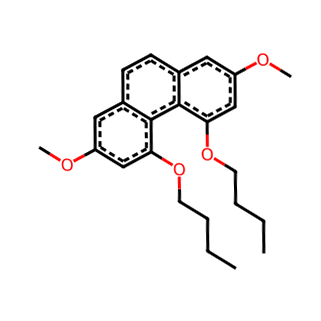 CCCCOc1cc(OC)cc2ccc3cc(OC)cc(OCCCC)c3c12